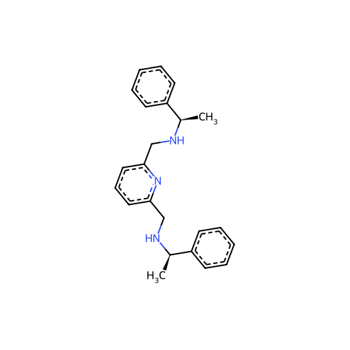 C[C@@H](NCc1cccc(CN[C@H](C)c2ccccc2)n1)c1ccccc1